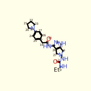 CCNC(=O)NN1Cc2[nH]nc(NC(=O)Cc3ccc(N4CCCC4)cc3)c2C1